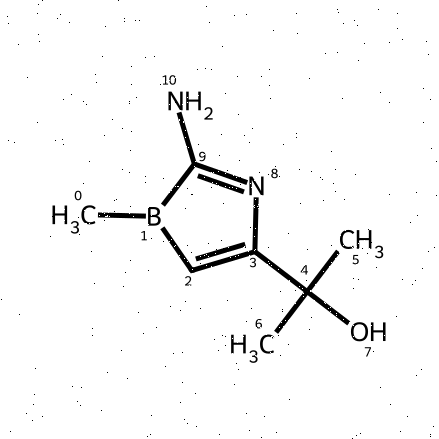 CB1C=C(C(C)(C)O)N=C1N